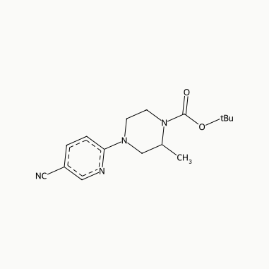 CC1CN(c2ccc(C#N)cn2)CCN1C(=O)OC(C)(C)C